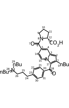 CCCCc1cc2cc(C(=O)N3CCC[C@H]3C(=O)O)ccn2c1C(=O)c1ccc(CCCN(CCCC)CCCC)cc1